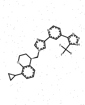 FC(F)(F)c1[nH]nnc1-c1ccnc(-c2cn(C[C@@H]3CCOc4c(C5CC5)cccc43)cn2)c1